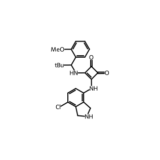 COc1ccccc1C(Nc1c(Nc2ccc(Cl)c3c2CNC3)c(=O)c1=O)C(C)(C)C